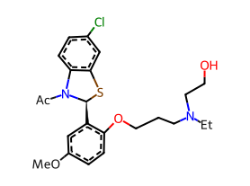 CCN(CCO)CCCOc1ccc(OC)cc1[C@@H]1Sc2cc(Cl)ccc2N1C(C)=O